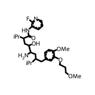 COCCCOc1cc(CC(CC(N)C(O)CC(C(=O)Nc2cccnc2F)C(C)C)C(C)C)ccc1OC